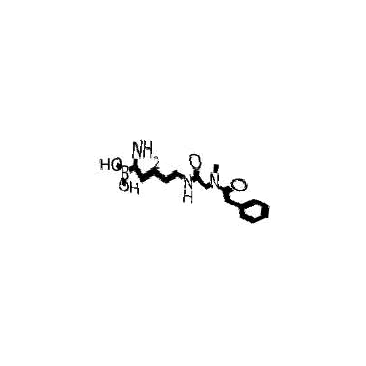 CN(CC(=O)NCCCCC(N)B(O)O)C(=O)Cc1ccccc1